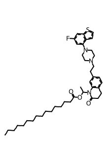 CCCCCCCCCCCCCCCC(=O)OC(C)N1C(=O)CCc2ccc(CCN3CCN(c4cc(F)cc5sccc45)CC3)cc21